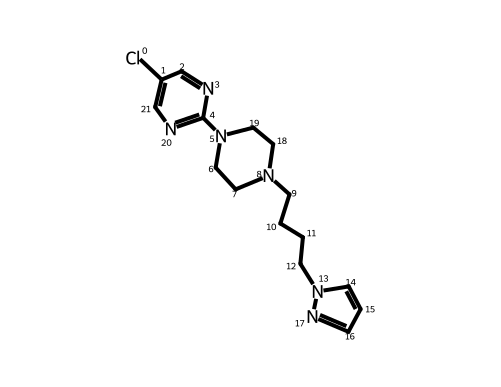 Clc1cnc(N2CCN(CCCCn3cccn3)CC2)nc1